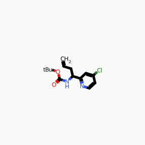 C=CCC(NC(=O)OC(C)(C)C)c1cc(Cl)ccn1